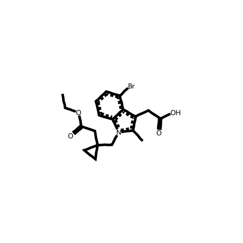 CCOC(=O)CC1(Cn2c(C)c(CC(=O)O)c3c(Br)cccc32)CC1